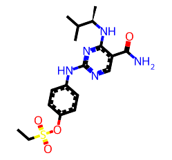 CCS(=O)(=O)Oc1ccc(Nc2ncc(C(N)=O)c(N[C@H](C)C(C)C)n2)cc1